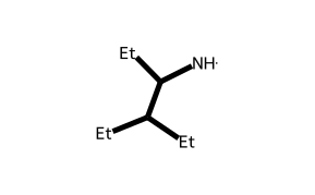 CCC([NH])C(CC)CC